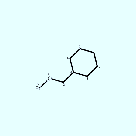 [CH2]COCC1CCCCC1